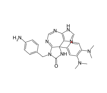 CN(C)c1ccc(C23NC(=O)N(Cc4ccc(N)cc4)C2=NC=Nc2[nH]cnc23)cc1N(C)C